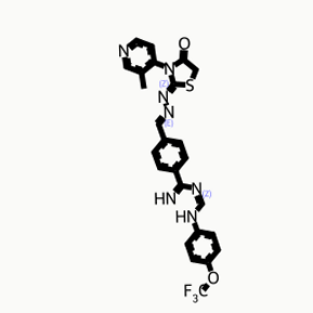 Cc1cnccc1N1C(=O)CS/C1=N\N=C\c1ccc(C(=N)/N=C\Nc2ccc(OC(F)(F)F)cc2)cc1